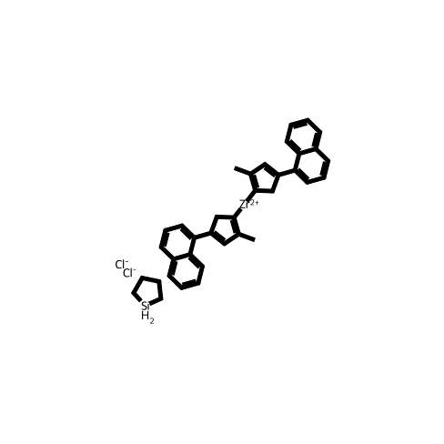 C1CC[SiH2]C1.CC1=[C]([Zr+2][C]2=C(C)C=C(c3cccc4ccccc34)C2)CC(c2cccc3ccccc23)=C1.[Cl-].[Cl-]